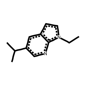 CCn1ccc2cc(C(C)C)cnc21